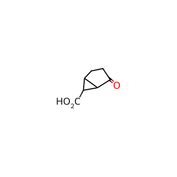 O=C(O)C1C2CCC(=O)C21